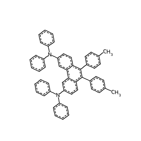 Cc1ccc(-c2c(-c3ccc(C)cc3)c3ccc(N(c4ccccc4)c4ccccc4)cc3c3cc(N(c4ccccc4)c4ccccc4)ccc23)cc1